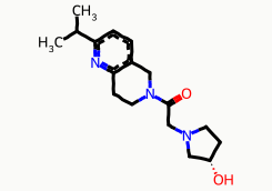 CC(C)c1ccc2c(n1)CCN(C(=O)CN1CC[C@H](O)C1)C2